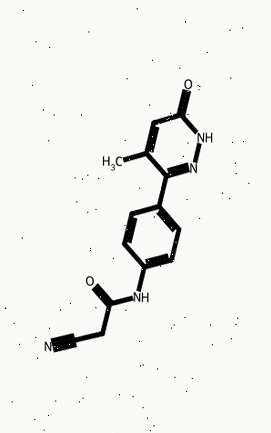 Cc1cc(=O)[nH]nc1-c1ccc(NC(=O)CC#N)cc1